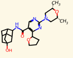 C[C@@H]1CN(c2ncc(C(=O)NC3C4CC5CC3CC(O)(C5)C4)c(C3CCCO3)n2)C[C@H](C)O1